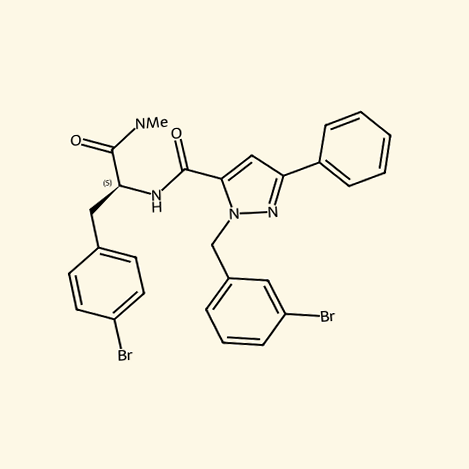 CNC(=O)[C@H](Cc1ccc(Br)cc1)NC(=O)c1cc(-c2ccccc2)nn1Cc1cccc(Br)c1